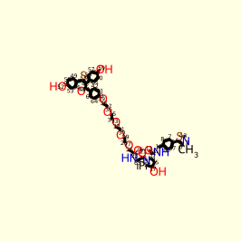 Cc1ncsc1-c1ccc(CNC(=O)[C@@H]2C[C@@H](O)CN2C(=O)[C@@H](NC(=O)COCCOCCOCCOCCOc2ccc(C(=O)c3c(-c4ccc(O)cc4)sc4cc(O)ccc34)cc2)C(C)C)cc1